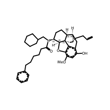 C=CCN1CC[C@]23c4c5c(O)cc(OC)c4O[C@H]2[C@@H](N(CC2CCCCC2)C(=O)CCCCCc2ccccc2)CC[C@H]3[C@H]1C5